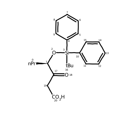 CCC[C@@H](O[Si](c1ccccc1)(c1ccccc1)C(C)(C)C)C(=O)CC(=O)O